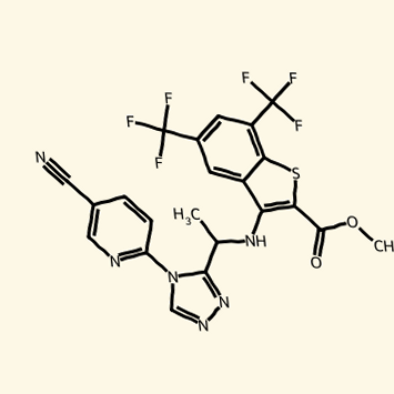 COC(=O)c1sc2c(C(F)(F)F)cc(C(F)(F)F)cc2c1NC(C)c1nncn1-c1ccc(C#N)cn1